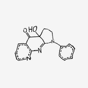 O=C1c2cccnc2N=C2N(c3ccccc3)CCC12O